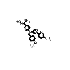 COc1ccc(CN(c2ccc(/C(N)=N/O)nc2)c2cnn(-c3ccc(C)cn3)c2)cc1